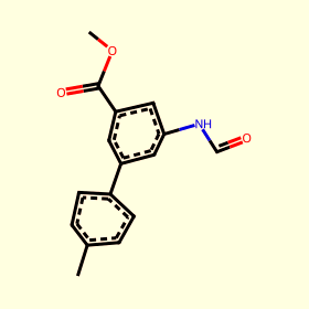 COC(=O)c1cc(NC=O)cc(-c2ccc(C)cc2)c1